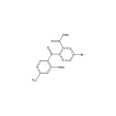 COC(=O)c1cc(Br)ccc1C(=O)c1ccc(C)cc1OC